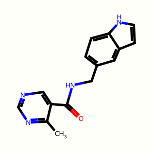 Cc1ncncc1C(=O)NCc1ccc2[nH]ccc2c1